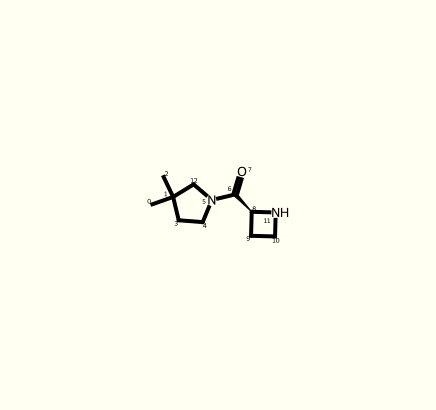 CC1(C)CCN(C(=O)[C@@H]2CCN2)C1